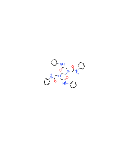 O=C(CN(CCN(CC(=O)Nc1ccccc1)CC(=O)Nc1ccccc1)CC(=O)Nc1ccccc1)Nc1ccccc1